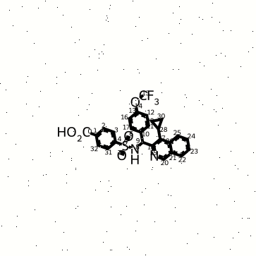 O=C(O)c1ccc(S(=O)(=O)NC(c2ccc(OC(F)(F)F)cc2)c2ncc3ccccc3c2C2CC2)cc1